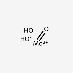 [OH-].[OH-].[O]=[Mo+2]